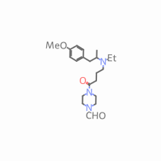 CCN(CCCC(=O)N1CCN(C=O)CC1)C(C)Cc1ccc(OC)cc1